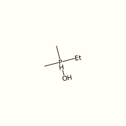 CC[PH](C)(C)O